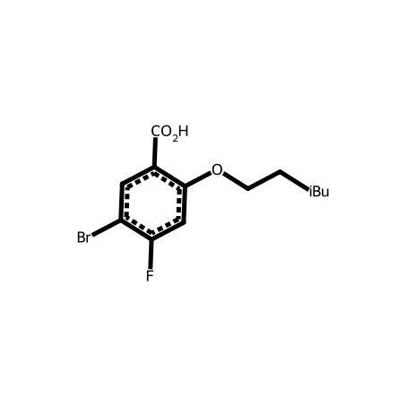 CCC(C)CCOc1cc(F)c(Br)cc1C(=O)O